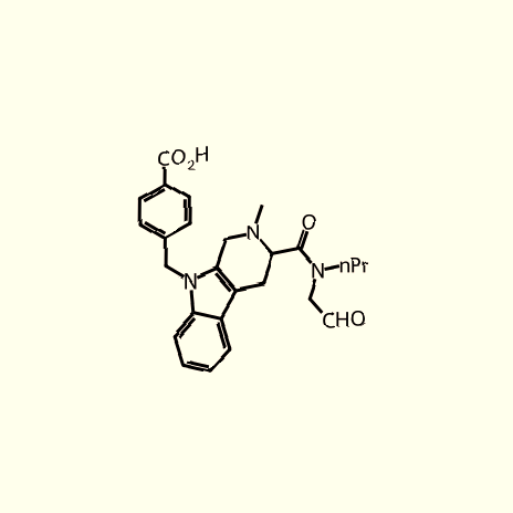 CCCN(CC=O)C(=O)C1Cc2c(n(Cc3ccc(C(=O)O)cc3)c3ccccc23)CN1C